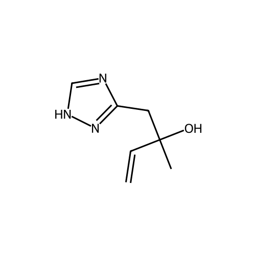 C=CC(C)(O)Cc1nc[nH]n1